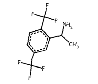 CC(N)c1cc(C(F)(F)F)ccc1C(F)(F)F